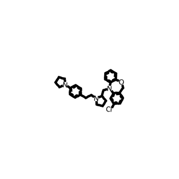 Clc1ccc2c(c1)N(CC1CCCN1CCc1ccc(N3CCCC3)cc1)c1ccccc1OC2